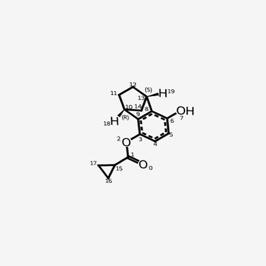 O=C(Oc1ccc(O)c2c1[C@@H]1CC[C@H]2C1)C1CC1